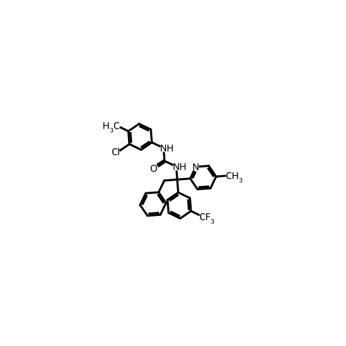 Cc1ccc(C(Cc2ccccc2)(NC(=O)Nc2ccc(C)c(Cl)c2)c2cccc(C(F)(F)F)c2)nc1